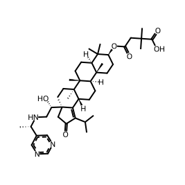 CC(C)C1=C2[C@H]3CC[C@@H]4[C@@]5(C)CC[C@H](OC(=O)CC(C)(C)C(=O)O)C(C)(C)[C@@H]5CC[C@@]4(C)[C@]3(C)CC[C@@]2([C@@H](O)CN[C@@H](C)c2cncnc2)CC1=O